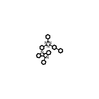 c1ccc(-c2ccc(-c3nc(-c4ccccc4)nc(-c4cccc(-n5c6ccccc6c6c(-c7ccccc7)nc7ccccc7c65)c4)n3)cc2)cc1